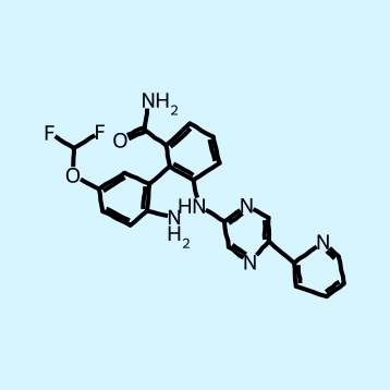 NC(=O)c1cccc(Nc2cnc(-c3ccccn3)cn2)c1-c1cc(OC(F)F)ccc1N